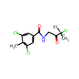 CC[C@](C)(Cl)C(=O)CNC(=O)c1cc(Cl)c(C)c(Cl)c1